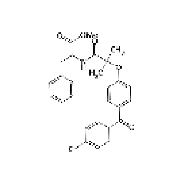 COC(=O)C(Cc1ccccc1)NC(=O)C(C)(C)Oc1ccc(C(=O)c2ccc(Cl)cc2)cc1